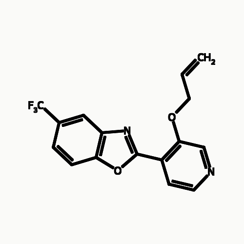 C=CCOc1cnccc1-c1nc2cc(C(F)(F)F)ccc2o1